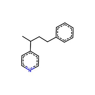 CC(CCc1ccccc1)c1ccncc1